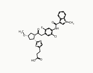 CO[C@H]1C[C@@H](c2ncc(CCC(=O)O)s2)N(C(=O)Cc2cc(Cl)c(NC(=O)c3cn(C)c4ccccc34)cc2F)C1